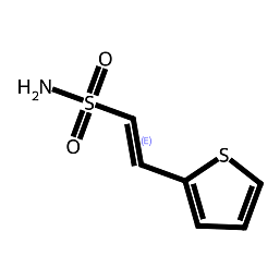 NS(=O)(=O)/C=C/c1cccs1